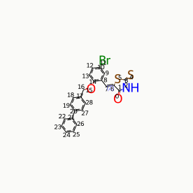 O=C1NC(=S)S/C1=C\c1cc(Br)ccc1OCc1ccc(-c2ccccc2)cc1